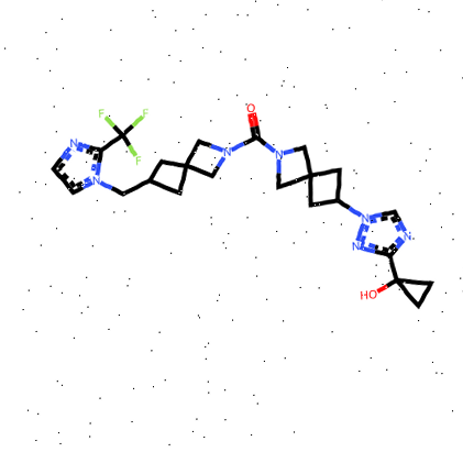 O=C(N1CC2(CC(Cn3ccnc3C(F)(F)F)C2)C1)N1CC2(CC(n3cnc(C4(O)CC4)n3)C2)C1